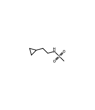 CS(=O)(=O)NCCC1CC1